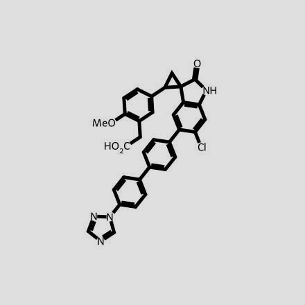 COc1ccc(C2CC23C(=O)Nc2cc(Cl)c(-c4ccc(-c5ccc(-n6cncn6)cc5)cc4)cc23)cc1CC(=O)O